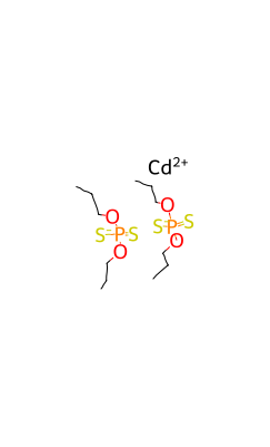 CCCOP(=S)([S-])OCCC.CCCOP(=S)([S-])OCCC.[Cd+2]